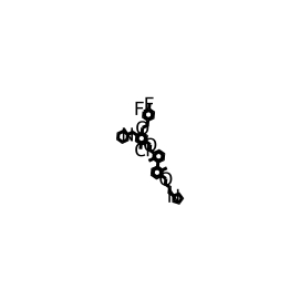 Cc1c(COc2cc(OCc3ccc(F)c(F)c3)c(CN3CCCCC3)cc2Cl)cccc1-c1cccc(OCCCN2CCCC2)c1C